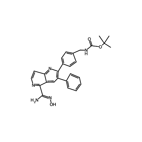 CC(C)(C)OC(=O)NCc1ccc(-c2nc3ccnc(C(N)=NO)c3cc2-c2ccccc2)cc1